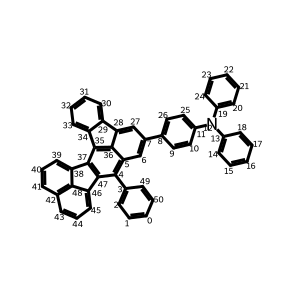 c1ccc(-c2c3cc(-c4ccc(N(c5ccccc5)c5ccccc5)cc4)cc4c5ccccc5c(c34)c3c4cccc5cccc(c23)c54)cc1